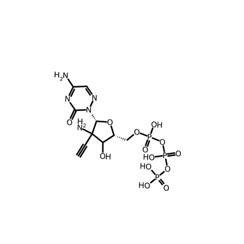 C#CC1(N)C(O)[C@@H](COP(=O)(O)OP(=O)(O)OP(=O)(O)O)O[C@H]1n1ncc(N)nc1=O